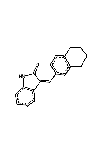 O=C1Nc2ccccc2C1=Cc1ccc2c(c1)CCCC2